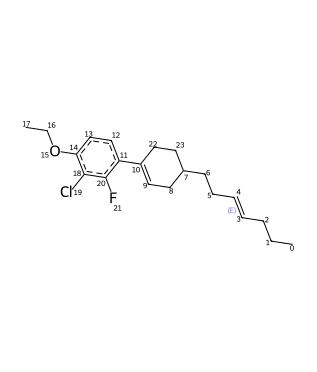 CCC/C=C/CCC1CC=C(c2ccc(OCC)c(Cl)c2F)CC1